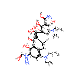 CCN(CC)c1cc(NC=O)c(O)c2c1CC1CC3[C@H](N(C)C)C(O)=C(C(N)=O)C(=O)C3(O)C(O)=C1C2=O